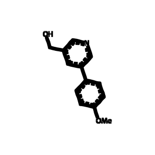 COc1ccc(-c2cncc(CO)c2)cc1